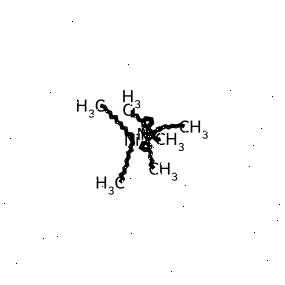 CCCCCCC#CC1=C(c2cccc(CCCCC)c2)[N+](=[N-])C(c2cccc(CCCCC)c2)=C1CC.CCCCCCCCCCC[CH2][Ni][CH2]CCCCCCCCCCC